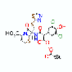 CC(C)(C)C(=O)OCOC(=O)C(C(=O)N[C@]1(CSc2nncs2)C(=O)N2C(C(=O)O)=CCS[C@@H]21)c1cc(Cl)c(O)c(Cl)c1